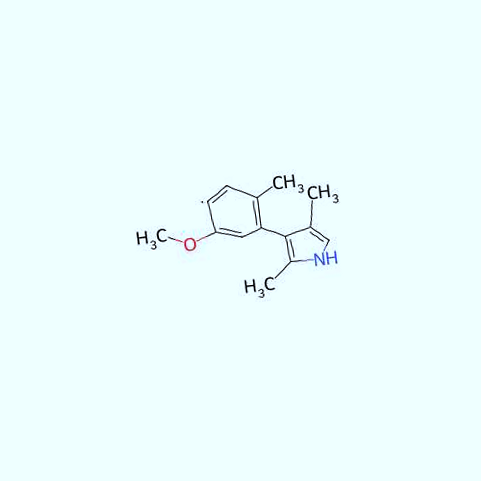 COc1[c]cc(C)c(-c2c(C)c[nH]c2C)c1